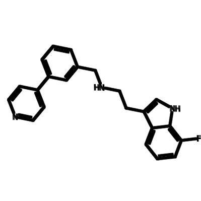 Fc1cccc2c(CCNCc3cccc(-c4ccncc4)c3)c[nH]c12